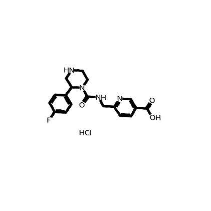 Cl.O=C(O)c1ccc(CNC(=O)N2CCNCC2c2ccc(F)cc2)nc1